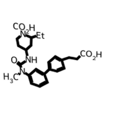 CCC1CC(NC(=O)N(C)c2cccc(-c3ccc(CCC(=O)O)cc3)c2)CCN1C(=O)O